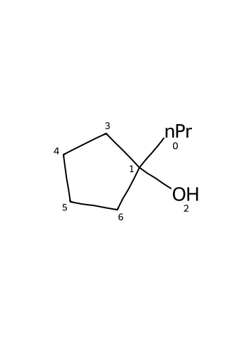 [CH2]CCC1(O)CCCC1